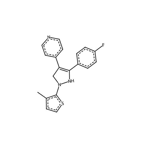 Cc1ccsc1N1CC(c2ccncc2)=C(c2ccc(F)cc2)N1